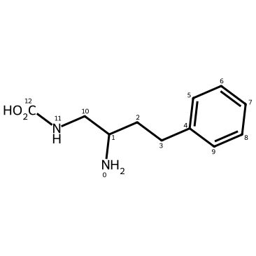 NC(CCc1ccccc1)CNC(=O)O